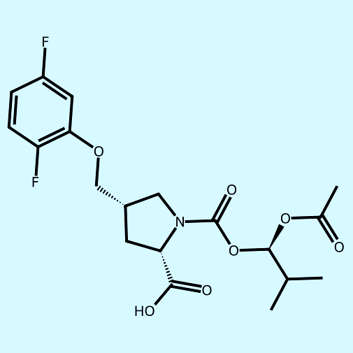 CC(=O)O[C@H](OC(=O)N1C[C@@H](COc2cc(F)ccc2F)C[C@H]1C(=O)O)C(C)C